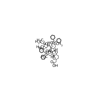 C=CC(C[C@H]1OC2C(CC(C)(C)[Si](O)(c3ccccc3)c3ccccc3)[C@H]3OC(CC(=O)O)CCC3O[C@H]2C1CC(C)(C)[Si](O)(c1ccccc1)c1ccccc1)O[Si](CC)(CC)CC